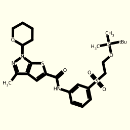 Cc1nn(C2CCCCO2)c2sc(C(=O)Nc3cccc(S(=O)(=O)CCO[Si](C)(C)C(C)(C)C)c3)cc12